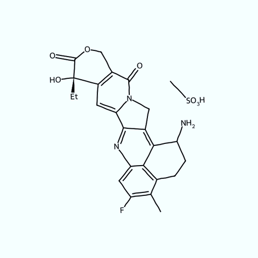 CC[C@@]1(O)C(=O)OCc2c1cc1n(c2=O)Cc2c-1nc1cc(F)c(C)c3c1c2C(N)CC3.CS(=O)(=O)O